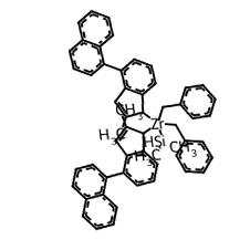 CC1=Cc2c(-c3cccc4ccccc34)cccc2[CH]1[Zr]([CH2]c1ccccc1)([CH2]c1ccccc1)([CH]1C(C)=Cc2c(-c3cccc4ccccc34)cccc21)[SiH](C)C